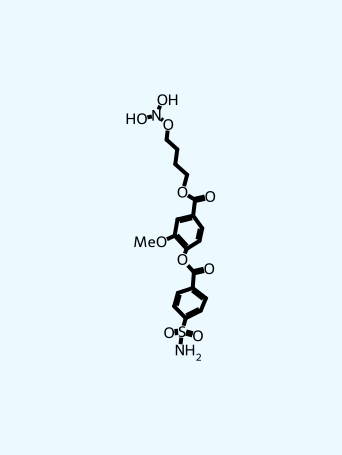 COc1cc(C(=O)OCCCCON(O)O)ccc1OC(=O)c1ccc(S(N)(=O)=O)cc1